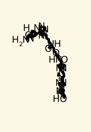 Nc1nc2cc(-c3nn(CCCCNC(=O)CCOCCNC(=O)c4cnc(N5CCN(c6ncc(-n7cc(CO)nn7)cn6)CC5)nc4)c4ncnc(N)c34)ccc2o1